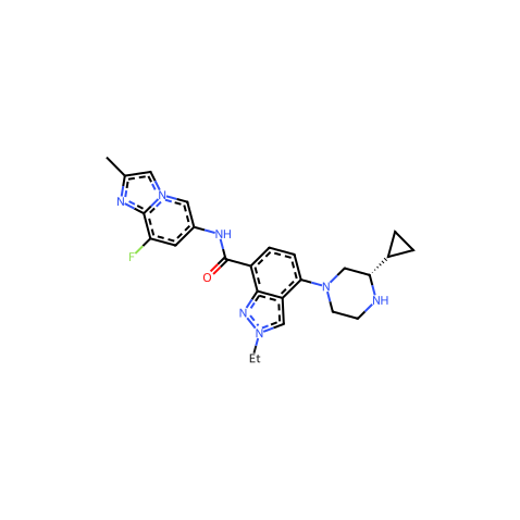 CCn1cc2c(N3CCN[C@@H](C4CC4)C3)ccc(C(=O)Nc3cc(F)c4nc(C)cn4c3)c2n1